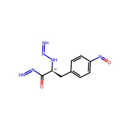 N=NN[C@@H](Cc1ccc(N=O)cc1)C(=O)N=N